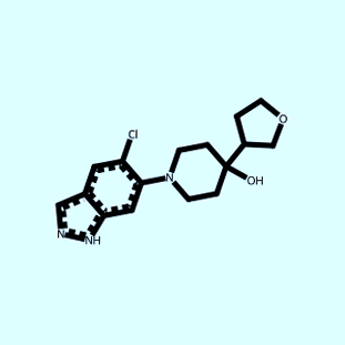 OC1(C2CCOC2)CCN(c2cc3[nH]ncc3cc2Cl)CC1